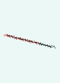 CCCCCCCCCCCCCOCCOCCOCCOCCOCCOCCOCCOCCOCCO